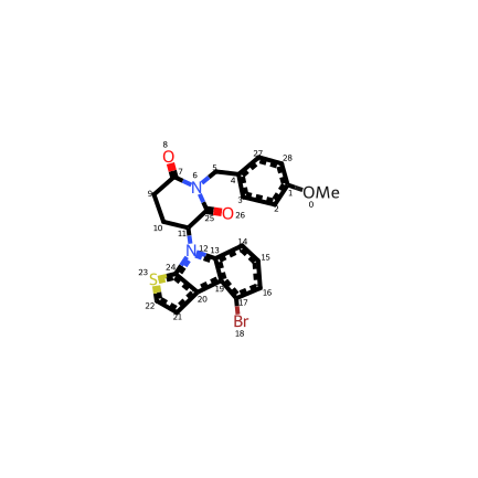 COc1ccc(CN2C(=O)CCC(n3c4cccc(Br)c4c4ccsc43)C2=O)cc1